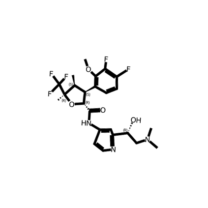 COc1c([C@H]2[C@H](C(=O)Nc3ccnc([C@H](O)CN(C)C)c3)O[C@@](C)(C(F)(F)F)[C@H]2C)ccc(F)c1F